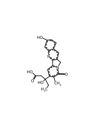 CCC(O)(CC(=O)O)c1cc2n(c(=O)c1C)Cc1cc3ccc(O)cc3nc1-2